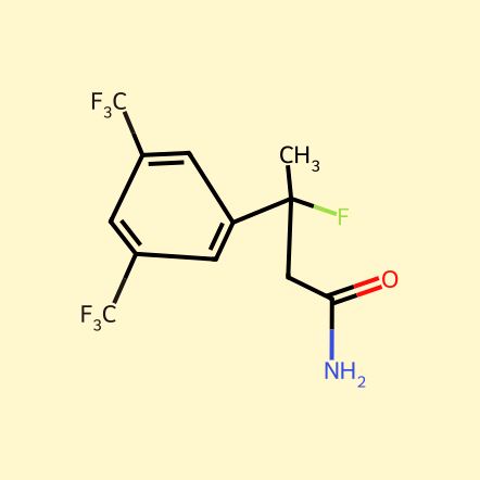 CC(F)(CC(N)=O)c1cc(C(F)(F)F)cc(C(F)(F)F)c1